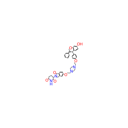 O=C1CCC(N2Cc3cc(OCCN4CCN(CCOc5ccc(C6c7ccc(O)cc7OC[C@@H]6c6ccccc6)cc5)CC4)ccc3C2=O)C(=O)N1